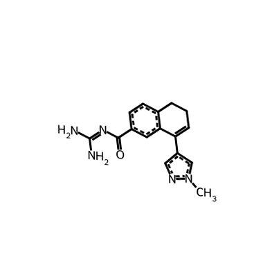 Cn1cc(C2=CCCc3ccc(C(=O)N=C(N)N)cc32)cn1